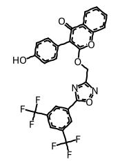 O=c1c(-c2ccc(O)cc2)c(OCc2noc(-c3cc(C(F)(F)F)cc(C(F)(F)F)c3)n2)oc2ccccc12